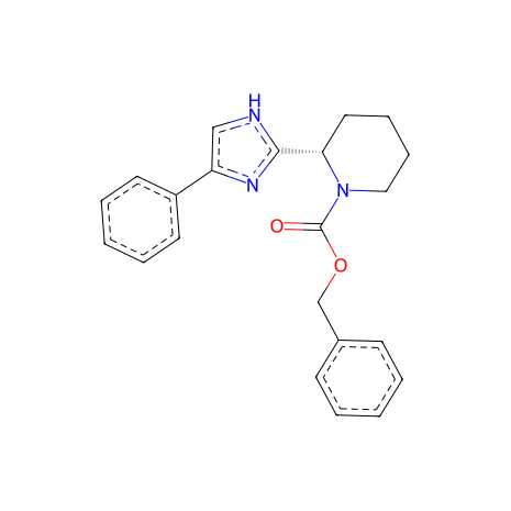 O=C(OCc1ccccc1)N1CCCC[C@H]1c1nc(-c2ccccc2)c[nH]1